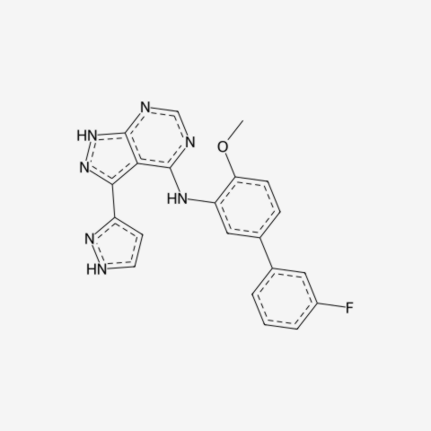 COc1ccc(-c2cccc(F)c2)cc1Nc1ncnc2[nH]nc(-c3cc[nH]n3)c12